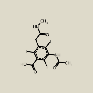 CNC(=O)Cc1c(I)c(NC(C)=O)c(I)c(C(=O)O)c1I